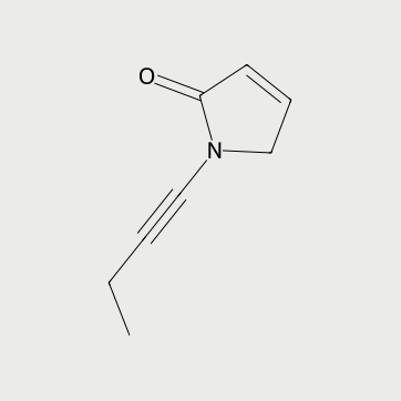 CCC#CN1CC=CC1=O